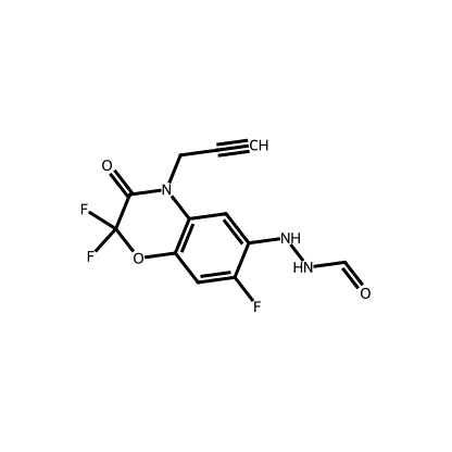 C#CCN1C(=O)C(F)(F)Oc2cc(F)c(NNC=O)cc21